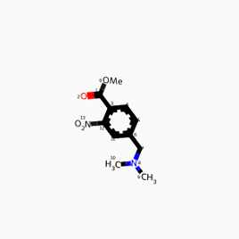 COC(=O)c1ccc(CN(C)C)cc1[N+](=O)[O-]